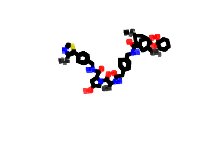 Cc1ncsc1-c1ccc(CNC(=O)C2CC(O)CN2C(=O)C(NC(=O)Cc2ccc(CNC(=O)C34CC(C)CC(C3)C3(OOC5(CCCCC5)O3)C(C)C4)cc2)C(C)(C)C)cc1